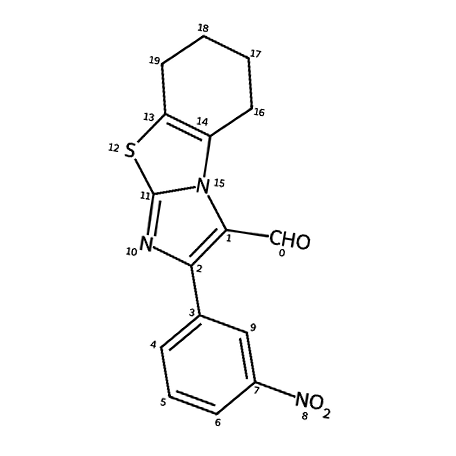 O=Cc1c(-c2cccc([N+](=O)[O-])c2)nc2sc3c(n12)CCCC3